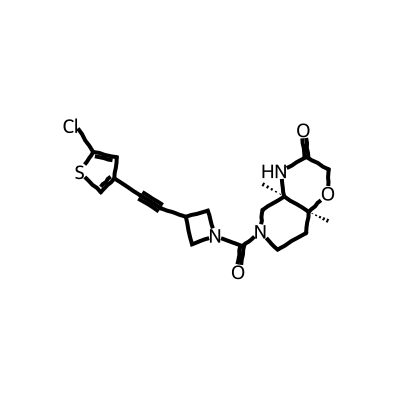 C[C@@]12CN(C(=O)N3CC(C#Cc4csc(Cl)c4)C3)CC[C@]1(C)OCC(=O)N2